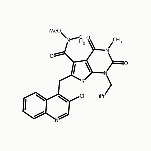 CON(C)C(=O)c1c(Cc2c(Cl)cnc3ccccc23)sc2c1c(=O)n(C)c(=O)n2CC(C)C